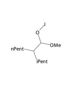 CCCCCC(C(C)CCC)C(OC)OI